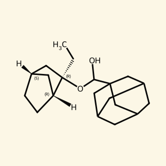 CC[C@@]1(OC(O)C23CC4CC(CC(C4)C2)C3)C[C@H]2CC[C@@H]1C2